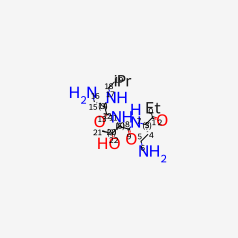 CCC(=O)[C@H](CCN)NC(=O)[C@@H](NC(=O)[C@H](CN)NCC(C)C)[C@H](C)O